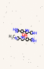 CCN1CC=C(c2ccc(-c3ccc(-c4cn[nH]c4)cc3O)nn2)CC1.Oc1cc(-c2cn[nH]c2)ccc1-c1ccc(C2=CCNCC2)nn1